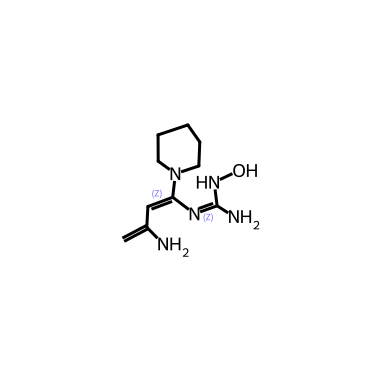 C=C(N)/C=C(\N=C(\N)NO)N1CCCCC1